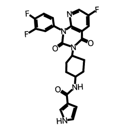 O=C(NC1CCC(n2c(=O)c3cc(F)cnc3n(-c3ccc(F)c(F)c3)c2=O)CC1)c1cc[nH]c1